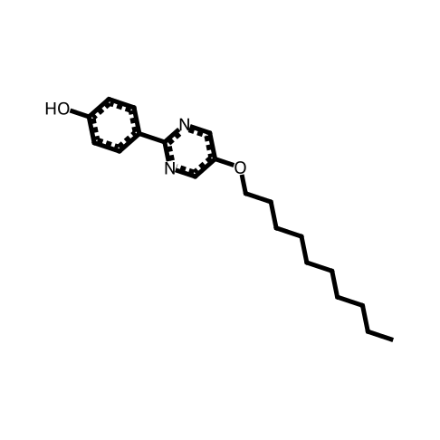 CCCCCCCCCCOc1cnc(-c2ccc(O)cc2)nc1